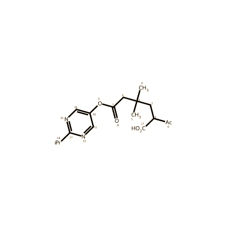 CC(=O)C(CC(C)(C)CC(=O)Oc1cnc(C(C)C)nc1)C(=O)O